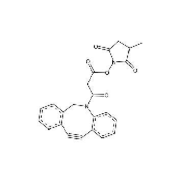 CC1CC(=O)N(OC(=O)CC(=O)N2Cc3ccccc3C#Cc3ccccc32)C1=O